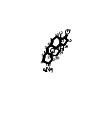 CN(C)[C@@H]1C=CC2=CC3=CC[C@]4(C)C(=O)CC[C@H]4[C@@]34CC[C@]2(C1)O4